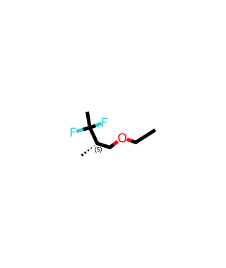 CCOC[C@H](C)C(C)(F)F